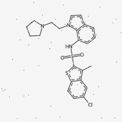 Cc1c(S(=O)(=O)Nc2cccc3ccn(CCN4CCCC4)c23)sc2ccc(Cl)cc12